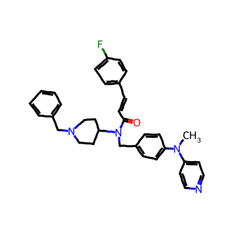 CN(c1ccncc1)c1ccc(CN(C(=O)C=Cc2ccc(F)cc2)C2CCN(Cc3ccccc3)CC2)cc1